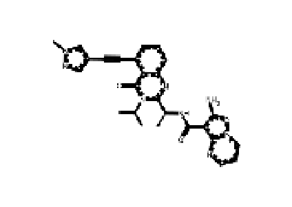 CC(C)n1c([C@H](C)NC(=O)c2c(N)nn3cccnc23)nc2cccc(C#Cc3cnn(C)c3)c2c1=O